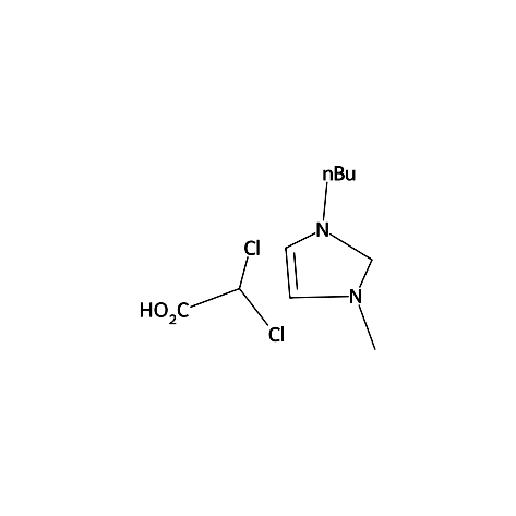 CCCCN1C=CN(C)C1.O=C(O)C(Cl)Cl